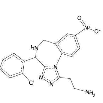 NCCc1nnc2n1-c1ccc([N+](=O)[O-])cc1CNC2c1ccccc1Cl